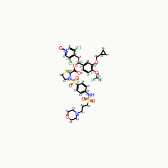 O=C(O[C@@H](Cc1c(Cl)c[n+]([O-])cc1Cl)c1ccc(OC(F)F)c(OCC2CC2)c1)C1SCCN1S(=O)(=O)c1ccc(NS(=O)(=O)CCCN2CCOCC2)cc1